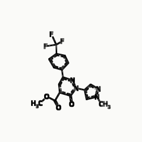 COC(=O)c1cc(-c2ccc(C(F)(F)F)cc2)nn(-c2cnn(C)c2)c1=O